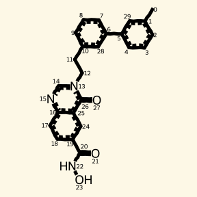 Cc1cccc(-c2cccc(CCn3cnc4ccc(C(=O)NO)cc4c3=O)c2)c1